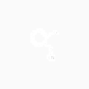 N#CSc1ccccc1[O]